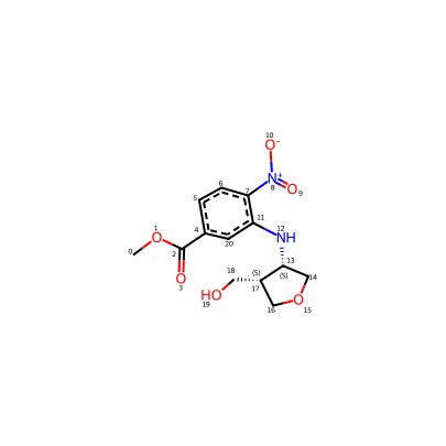 COC(=O)c1ccc([N+](=O)[O-])c(N[C@@H]2COC[C@@H]2CO)c1